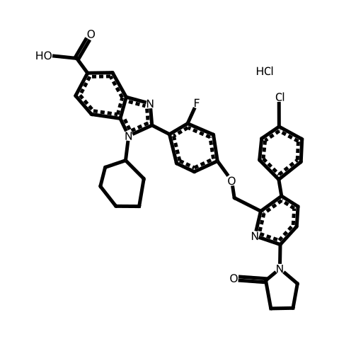 Cl.O=C(O)c1ccc2c(c1)nc(-c1ccc(OCc3nc(N4CCCC4=O)ccc3-c3ccc(Cl)cc3)cc1F)n2C1CCCCC1